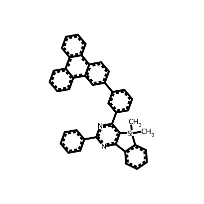 C[Si]1(C)c2ccccc2-c2nc(-c3ccccc3)nc(-c3cccc(-c4ccc5c6ccccc6c6ccccc6c5c4)c3)c21